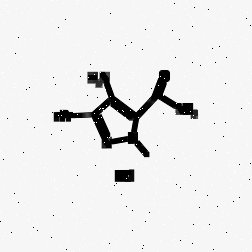 CCCc1nn(C)c(C(N)=O)c1N.Cl